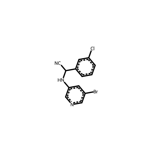 N#CC(Nc1cncc(Br)c1)c1cccc(Cl)c1